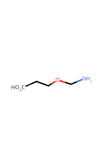 NCOCCC(=O)O